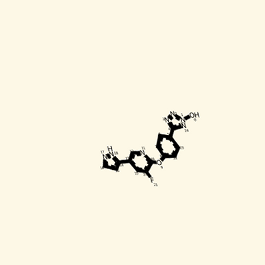 On1nnc(-c2ccc(Oc3ncc(-c4ccn[nH]4)cc3F)cc2)n1